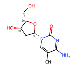 N#Cc1cn([C@@H]2C[C@@H](O)[C@H](CO)O2)c(=O)nc1N